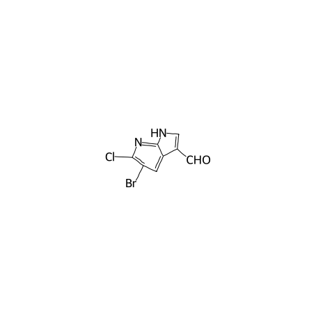 O=Cc1c[nH]c2nc(Cl)c(Br)cc12